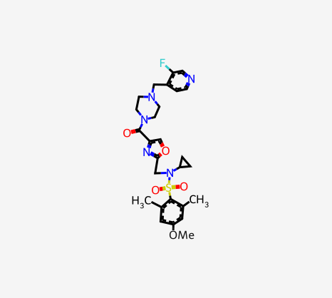 COc1cc(C)c(S(=O)(=O)N(Cc2nc(C(=O)N3CCN(Cc4ccncc4F)CC3)co2)C2CC2)c(C)c1